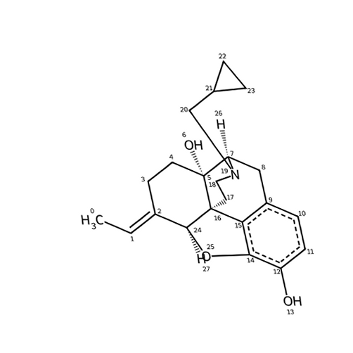 CC=C1CC[C@@]2(O)[C@H]3Cc4ccc(O)c5c4[C@@]2(CCN3CC2CC2)[C@H]1O5